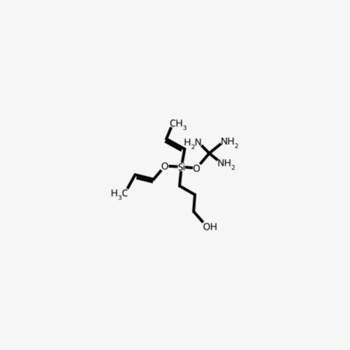 CC=CO[Si](C=CC)(CCCO)OC(N)(N)N